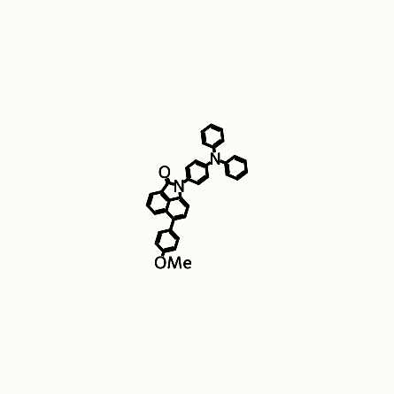 COc1ccc(-c2ccc3c4c(cccc24)C(=O)N3c2ccc(N(c3ccccc3)c3ccccc3)cc2)cc1